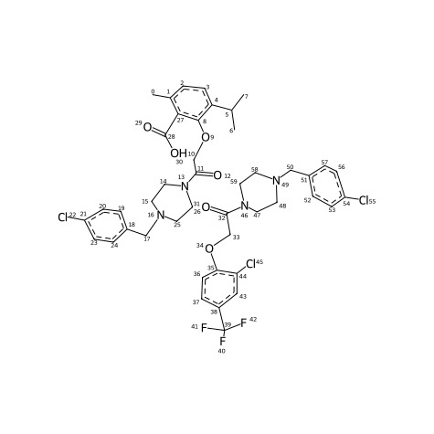 Cc1ccc(C(C)C)c(OCC(=O)N2CCN(Cc3ccc(Cl)cc3)CC2)c1C(=O)O.O=C(COc1ccc(C(F)(F)F)cc1Cl)N1CCN(Cc2ccc(Cl)cc2)CC1